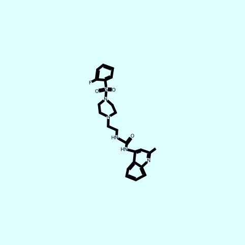 Cc1cc(NC(=O)NCCN2CCN(S(=O)(=O)c3ccccc3F)CC2)c2ccccc2n1